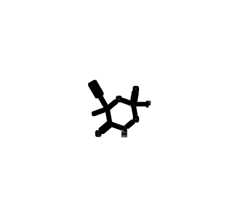 C#CC1(C)OP(=O)(F)ONC1=O